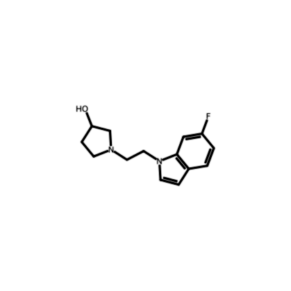 OC1CCN(CCn2ccc3ccc(F)cc32)C1